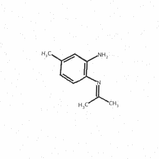 CC(C)=Nc1ccc(C)cc1N